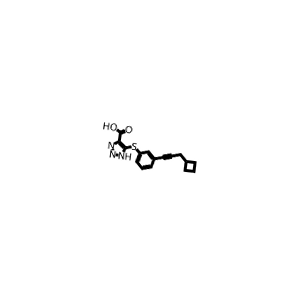 O=C(O)c1nn[nH]c1Sc1cccc(C#CCC2CCC2)c1